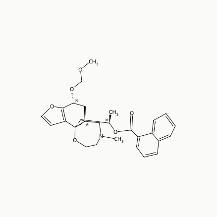 COCO[C@@H]1C[C@@]23CN(C)CCOC2(CC=C3[C@@H](C)OC(=O)c2cccc3ccccc23)c2ccoc21